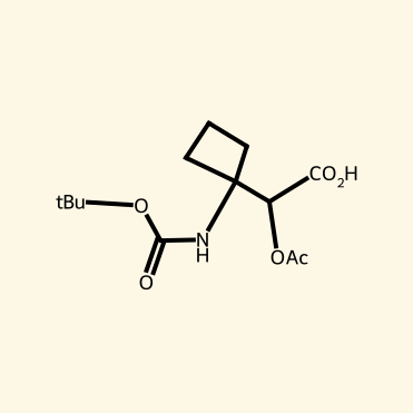 CC(=O)OC(C(=O)O)C1(NC(=O)OC(C)(C)C)CCC1